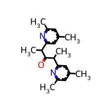 Cc1cc(C)nc(C(C)C(=O)C(C)c2cc(C)cc(C)n2)c1